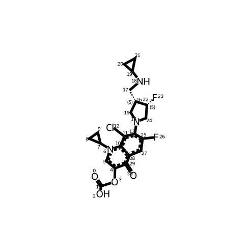 O=C(O)Oc1cn(C2CC2)c2c(Cl)c(N3C[C@H](CNC4CC4)[C@H](F)C3)c(F)cc2c1=O